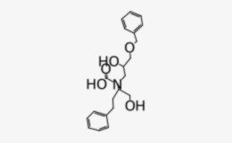 O=C(O)N(CC(O)COCc1ccccc1)C(CO)CCc1ccccc1